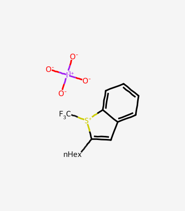 CCCCCCc1cc2ccccc2[s+]1C(F)(F)F.[O-][I+3]([O-])([O-])[O-]